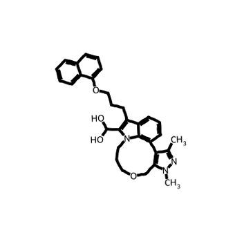 Cc1nn(C)c2c1-c1cccc3c(CCCOc4cccc5ccccc45)c(C(O)O)n(c13)CCCOC2